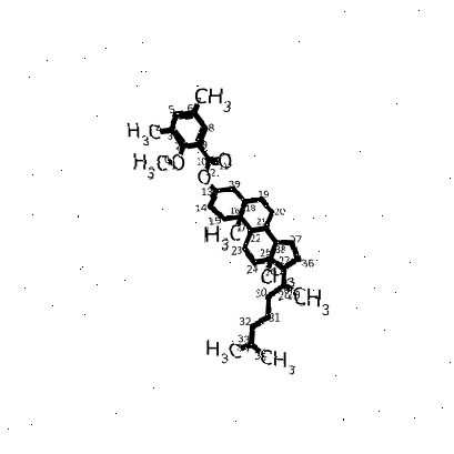 COc1c(C)cc(C)cc1C(=O)OC1CCC2(C)C(CCC3C2CCC2(C)C(C(C)CCCC(C)C)CCC32)C1